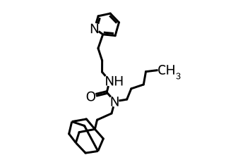 CCCCCN(CCC12CC3CC(CC(C3)C1)C2)C(=O)NCCCc1ccccn1